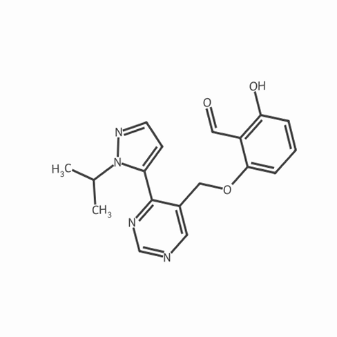 CC(C)n1nccc1-c1ncncc1COc1cccc(O)c1C=O